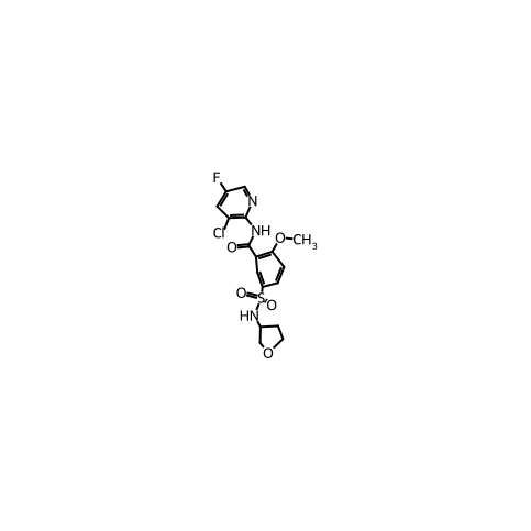 COc1ccc(S(=O)(=O)NC2CCOC2)cc1C(=O)Nc1ncc(F)cc1Cl